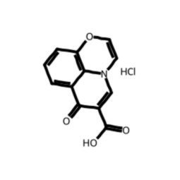 Cl.O=C(O)c1cn2c3c(cccc3c1=O)OC=C2